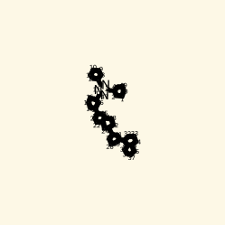 c1ccc(-c2nc(-c3ccccc3)nc(-c3cccc(-c4ccc5cc(-c6cccc(-c7cccc8ccccc78)c6)ccc5c4)c3)n2)cc1